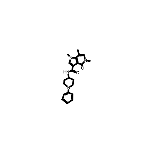 Cc1cn(C)c(=O)c2c(C(=O)NC3CCN(c4ccccc4)CC3)cn(C)c12